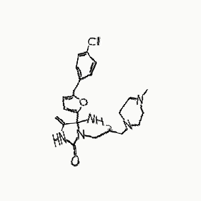 C=C1NC(=O)N(CCCN2CCN(C)CC2)C1(N)c1ccc(-c2ccc(Cl)cc2)o1